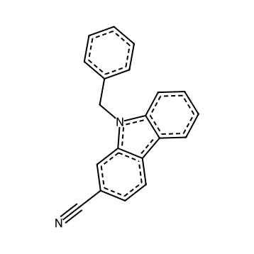 N#Cc1ccc2c3ccccc3n(Cc3ccccc3)c2c1